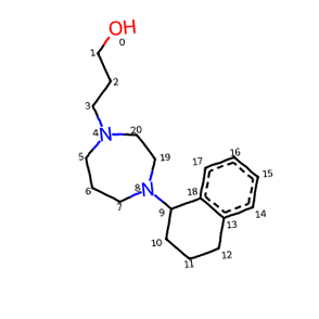 OCCCN1CCCN(C2CCCc3ccccc32)CC1